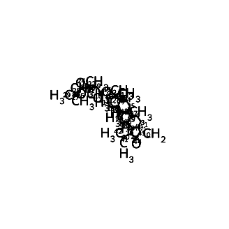 C=C[C@@]12CC[C@]3(C)[C@H](CC[C@@H]4[C@@]5(C)CC[C@H](OC(=O)CC(C)(C)C(=O)OC(C)(C)C)C(C)(C)[C@@H]5CC[C@]43C)C1=C(C(C)C)C(=O)C2